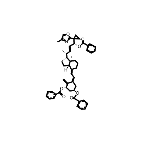 C=C1/C(=C\C=C2/CCC[C@]3(C)[C@@H]([C@H](C)/C=C/[C@@H](OC(=O)c4ccccc4)C4(c5nc(C)co5)CC4)CC[C@@H]23)C[C@@H](OC(=O)c2ccccc2)C[C@@H]1OC(=O)c1ccccc1